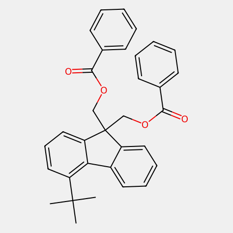 CC(C)(C)c1cccc2c1-c1ccccc1C2(COC(=O)c1ccccc1)COC(=O)c1ccccc1